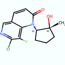 C[C@@]1(O)CCC[C@H]1n1c(=O)ccc2cnc(Cl)c(F)c21